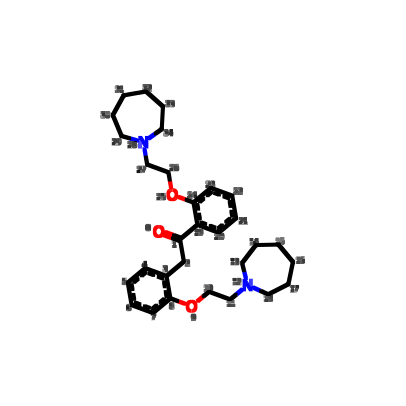 O=C(Cc1ccccc1OCCN1CCCCCC1)c1ccccc1OCCN1CCCCCC1